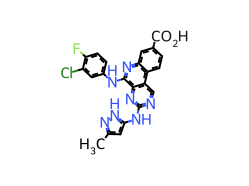 Cc1cc(Nc2ncc3c(n2)c(Nc2ccc(F)c(Cl)c2)nc2cc(C(=O)O)ccc23)[nH]n1